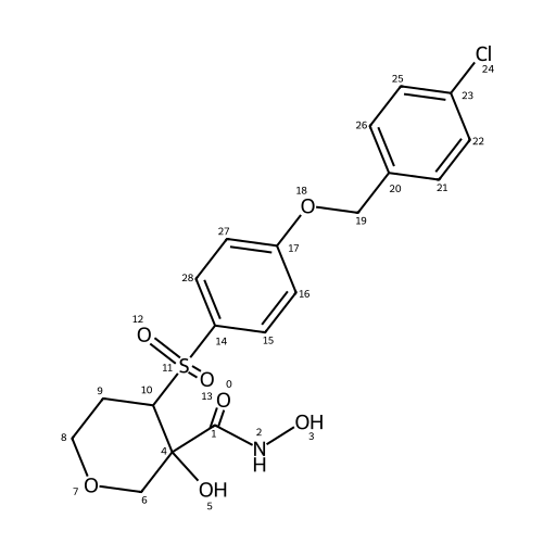 O=C(NO)C1(O)COCCC1S(=O)(=O)c1ccc(OCc2ccc(Cl)cc2)cc1